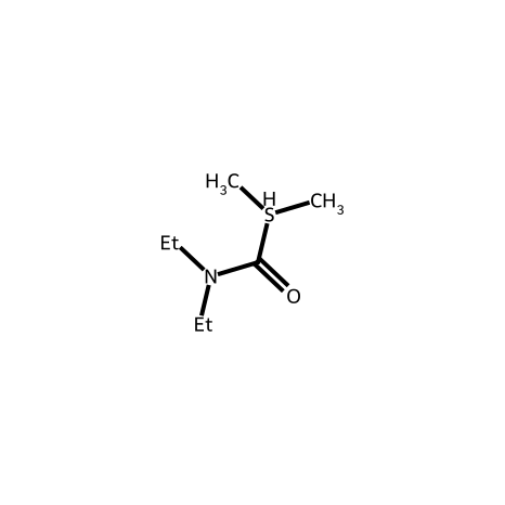 CCN(CC)C(=O)[SH](C)C